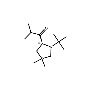 CC(C)C(=O)[C@@H]1CS(C)(C)CN1C(C)(C)C